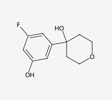 Oc1cc(F)cc(C2(O)CCOCC2)c1